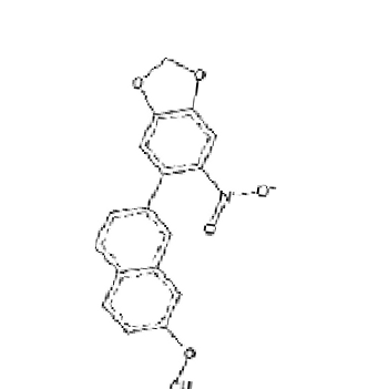 COc1ccc2ccc(-c3cc4c(cc3[N+](=O)[O-])OCO4)cc2c1